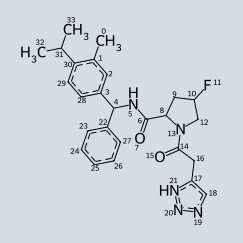 Cc1cc(C(NC(=O)C2CC(F)CN2C(=O)Cc2cnn[nH]2)c2ccccc2)ccc1C(C)C